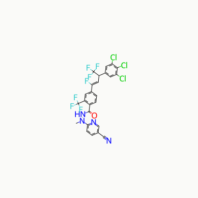 CN(NC(=O)c1ccc(C(F)=CC(c2cc(Cl)c(Cl)c(Cl)c2)C(F)(F)F)cc1C(F)(F)F)c1ccc(C#N)cn1